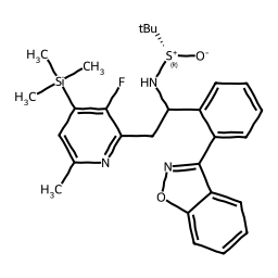 Cc1cc([Si](C)(C)C)c(F)c(CC(N[S@@+]([O-])C(C)(C)C)c2ccccc2-c2noc3ccccc23)n1